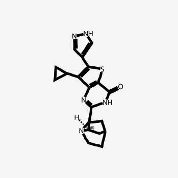 O=c1[nH]c([C@H]2CC3CCN2CC3)nc2c(C3CC3)c(-c3cn[nH]c3)sc12